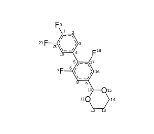 Fc1ccc(-c2c(F)cc(C3OCCCO3)cc2F)cc1F